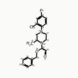 CC1CN(c2ccc(F)cc2Cl)CCN1C(C=O)OCc1ccncc1